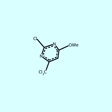 COc1cc(C(Cl)(Cl)Cl)nc(Cl)n1